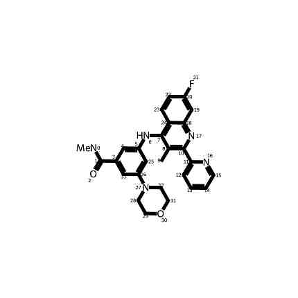 CNC(=O)c1cc(Nc2c(C)c(-c3ccccn3)nc3cc(F)ccc23)cc(N2CCOCC2)c1